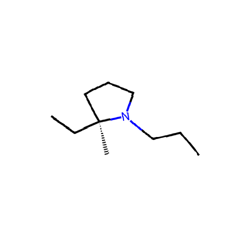 CCCN1CCC[C@]1(C)CC